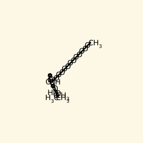 CCCOCCOCCOCCOCCOCCOCCOCCOCCOCCOCCOCCOCCC(=O)N[C@@H](Cc1ccc(OCCNC(=O)OC(C)(C)C)cc1)C(=O)OCc1ccccc1